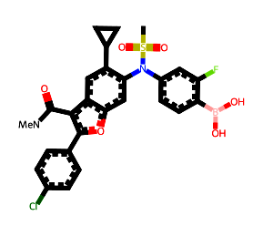 CNC(=O)c1c(-c2ccc(Cl)cc2)oc2cc(N(c3ccc(B(O)O)c(F)c3)S(C)(=O)=O)c(C3CC3)cc12